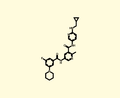 Cc1ncc(NC(=O)c2cc(F)cc(N3CCCCC3)c2)cc1C(=O)Nc1ccc(NCC2CC2)nc1